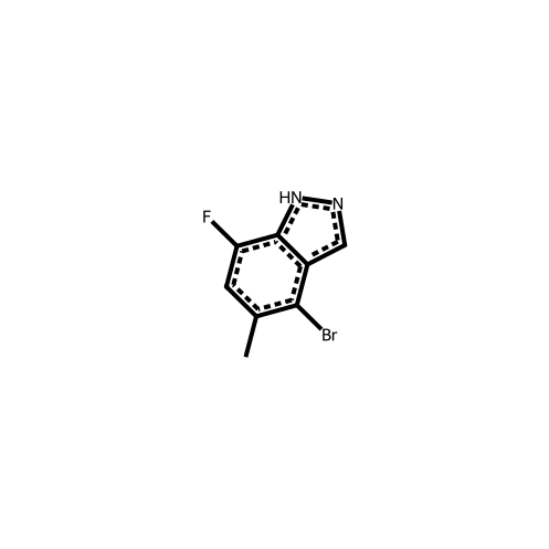 Cc1cc(F)c2[nH]ncc2c1Br